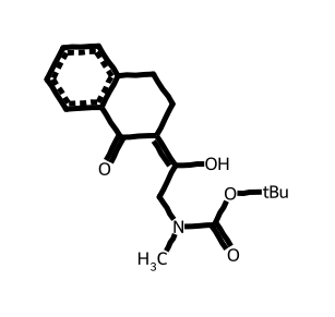 CN(CC(O)=C1CCc2ccccc2C1=O)C(=O)OC(C)(C)C